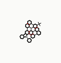 CC(C)(C)c1ccc(N(c2ccccc2-c2ccc3c(c2)c2ccccc2n3-c2ccccc2)c2ccccc2-c2cccc3cccc(-c4ccccc4)c23)c(-c2ccccc2)c1